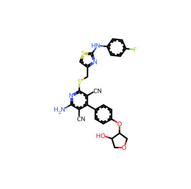 N#Cc1c(N)nc(SCc2csc(Nc3ccc(F)cc3)n2)c(C#N)c1-c1ccc(OC2COCC2O)cc1